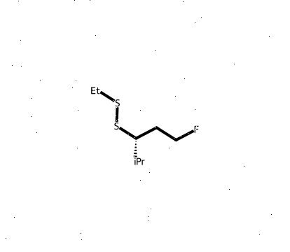 CCSS[C@H](CCF)C(C)C